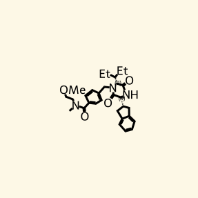 CCC(CC)[C@@H]1C(=O)N[C@H](C2Cc3ccccc3C2)C(=O)N1Cc1ccc(C(=O)N(C)CCOC)cc1